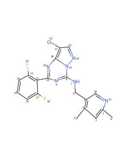 Cc1cc(C)c(CNc2nc(-c3c(F)cccc3F)nc3c(Cl)cnn23)cn1